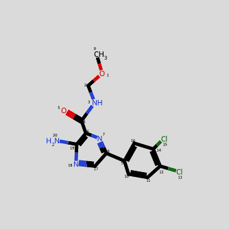 COCNC(=O)c1nc(-c2ccc(Cl)c(Cl)c2)cnc1N